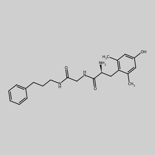 Cc1cc(O)cc(C)c1C[C@H](N)C(=O)NCC(=O)NCCCc1ccccc1